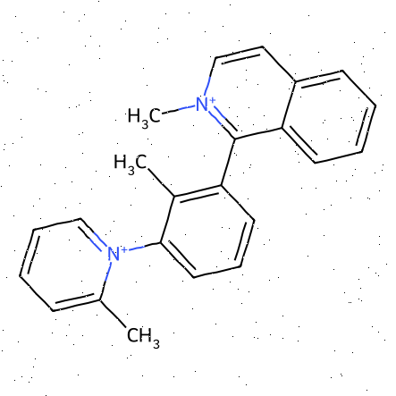 Cc1c(-c2c3ccccc3cc[n+]2C)cccc1-[n+]1ccccc1C